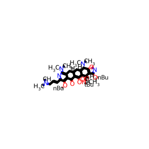 CCCCOc1noc2c1C(=O)[C@@]1(O[Si](C)(C)C(C)(C)C)C(O)=C3C(=O)c4c(c(N(C)C)nc(C=CCN(C)C)c4OCCCC)C[C@H]3C[C@H]1[C@@H]2N(C)C